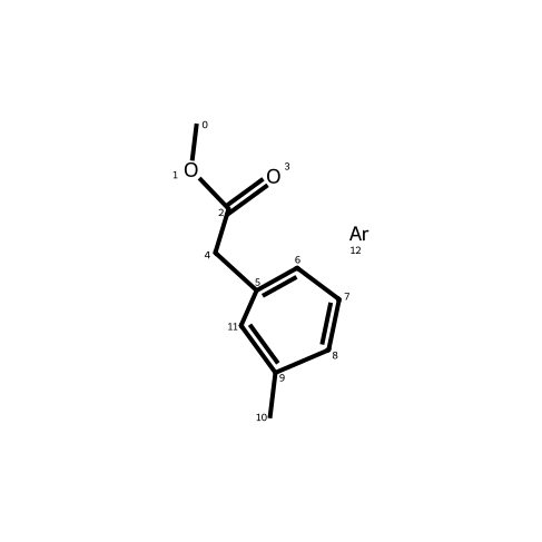 COC(=O)Cc1cccc(C)c1.[Ar]